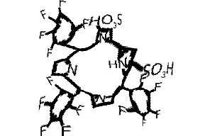 O=S(=O)(O)C1=CC2=NC1=C(c1c(F)c(F)c(F)c(F)c1F)C1=NC(=C(c3c(F)c(F)c(F)c(F)c3F)C3=NC(=C(c4c(F)c(F)c(F)c(F)c4F)c4[nH]c2cc4S(=O)(=O)O)C=C3)C=C1